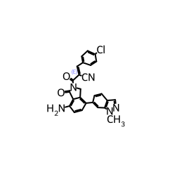 Cn1ncc2ccc(-c3ccc(N)c4c3CN(C(=O)/C(C#N)=C/c3ccc(Cl)cc3)C4=O)cc21